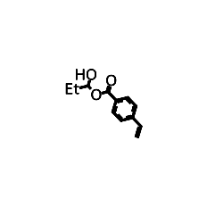 C=Cc1ccc(C(=O)OC(O)CC)cc1